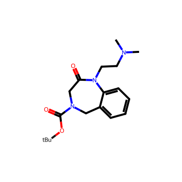 CN(C)CCN1C(=O)CN(C(=O)OC(C)(C)C)Cc2ccccc21